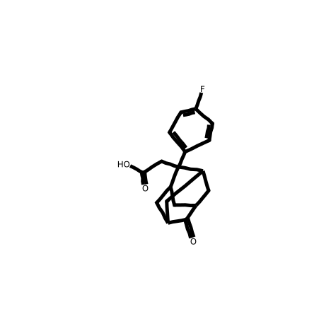 O=C(O)CC1(c2ccc(F)cc2)C2CC3CC1CC(C2)C3=O